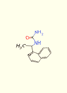 CC(NC(N)=O)c1cccc2ccccc12